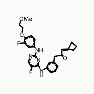 COCCOc1ccc(Nc2ncc(F)c(Nc3cccc(CC(=O)C=C4CCC4)c3)n2)cc1F